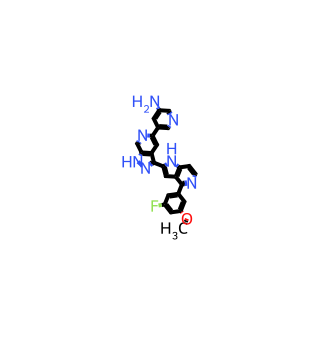 COc1cc(F)cc(-c2nccc3[nH]c(-c4n[nH]c5cnc(-c6cncc(N)c6)cc45)cc23)c1